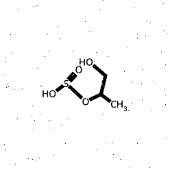 CC(CO)OS(=O)O